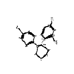 Clc1ccc(N2CCCC[C@H]2c2ccc(Cl)cc2Cl)cc1